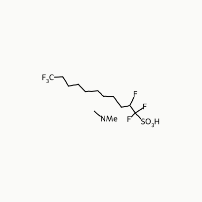 CNC.O=S(=O)(O)C(F)(F)C(F)CCCCCCCCC(F)(F)F